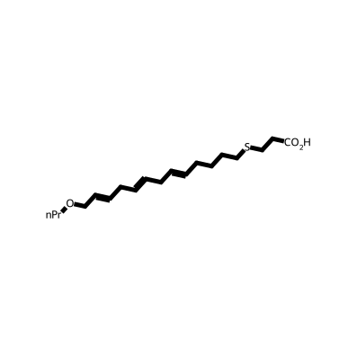 CCCOCC=CCC=CCC=CCCCCSCCC(=O)O